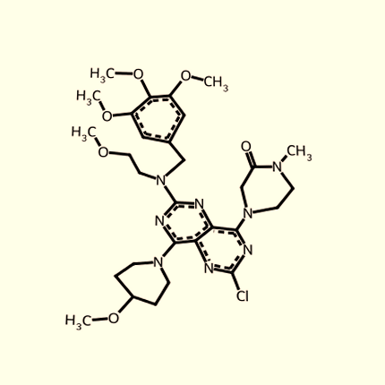 COCCN(Cc1cc(OC)c(OC)c(OC)c1)c1nc(N2CCC(OC)CC2)c2nc(Cl)nc(N3CCN(C)C(=O)C3)c2n1